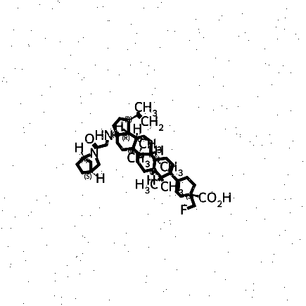 C=C(C)[C@@H]1CC[C@]2(NCC(=O)N3C[C@H]4CC[C@@H]3C4)CC[C@]3(C)[C@H](CC[C@@H]4[C@@]5(C)CC=C(C6=CC[C@](CF)(C(=O)O)CC6)C(C)(C)[C@@H]5CC[C@]43C)[C@@H]12